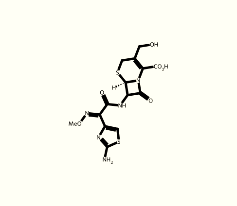 CO/N=C(/C(=O)NC1C(=O)N2C(C(=O)O)=C(CO)CS[C@H]12)c1csc(N)n1